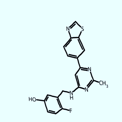 Cc1nc(NCc2cc(O)ccc2F)cc(-c2ccc3ncsc3c2)n1